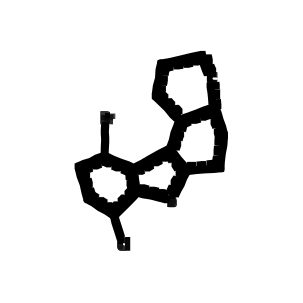 Clc1ccc(Br)c2c1sc1ccc3ccccc3c12